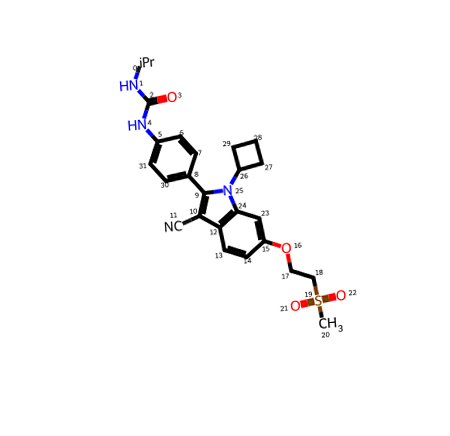 CC(C)NC(=O)Nc1ccc(-c2c(C#N)c3ccc(OCCS(C)(=O)=O)cc3n2C2CCC2)cc1